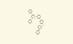 CC1(C)c2ccc(-c3cccc(-c4cc(-c5ccccc5)cc(-c5ccccc5)n4)c3)cc2-c2cc3oc4ccccc4c3cc21